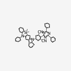 C[Si]1(C)c2ccccc2N(c2ccccc2)c2cc3c4ccccc4n(-c4cc(C#N)c(-c5nc(-c6ccccc6)nc(-c6ccccc6)n5)c(C#N)c4)c3cc21